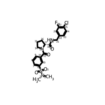 CN(C)S(=O)(=O)c1cccc(C(=O)N2CCC[C@@H]2C(=O)NCc2ccc(Cl)c(F)c2)c1